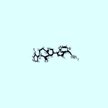 Nc1ncnn2c(-c3cnc4c(c3)C(=O)N(C3CNCC3F)CC4)ccc12